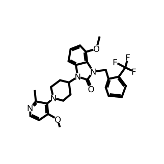 COc1ccnc(C)c1N1CCC(n2c(=O)n(Cc3ccccc3C(F)(F)F)c3c(OC)cccc32)CC1